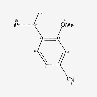 COc1cc(C#N)ccc1C(C)C(C)C